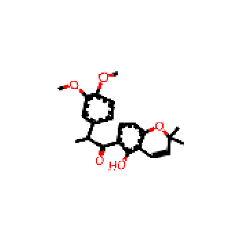 COc1ccc(C(C)C(=O)c2ccc3c(c2O)C=CC(C)(C)O3)cc1OC